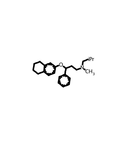 CC(C)CN(C)CCC(Oc1ccc2c(c1)CCCC2)c1ccccc1